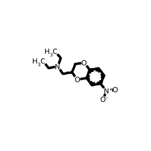 CCN(CC)CC1COc2ccc([N+](=O)[O-])cc2O1